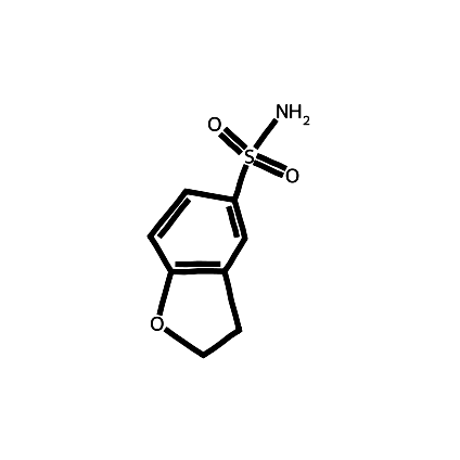 NS(=O)(=O)c1ccc2c(c1)CCO2